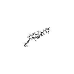 Cc1cccc(Cc2cnn(C(=O)NC3COc4ccc(C#CC5COC5)cc4N(C)C3=O)c2)n1